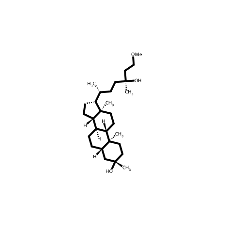 COCC[C@@](C)(O)CC[C@@H](C)[C@H]1CC[C@H]2[C@@H]3CC[C@H]4C[C@@](C)(O)CC[C@]4(C)[C@H]3CC[C@]12C